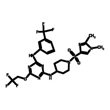 Cc1nc(S(=O)(=O)N2CCC(Nc3nc(Nc4cccc(C(F)(F)F)c4)nc(OCC(F)(F)F)n3)CC2)cn1C